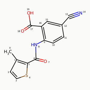 Cc1ccsc1C(=O)Nc1ccc(C#N)cc1C(=O)O